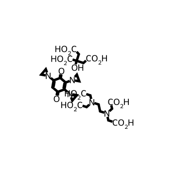 O=C(O)CC(O)(CC(=O)O)C(=O)O.O=C(O)CN(CCN(CC(=O)O)CC(=O)O)CC(=O)O.O=C1C=C(N2CC2)C(=O)C(N2CC2)=C1N1CC1